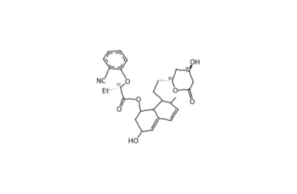 CC[C@H](Oc1ccccc1C#N)C(=O)OC1CC(O)C=C2C=CC(C)C(CC[C@@H]3C[C@@H](O)CC(=O)O3)C21